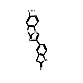 COc1ccc2c(c1)sc1nc(-c3ccc4c(c3)CC(=O)N4)cn12